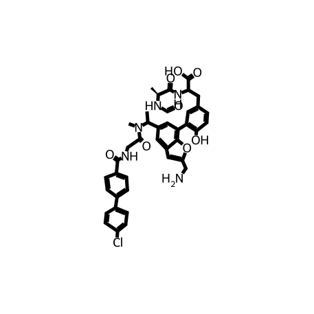 CC(c1cc(-c2cc(CC(NC(=O)[C@H](C)NC=O)C(=O)O)ccc2O)c2oc(CN)cc2c1)N(C)C(=O)CNC(=O)c1ccc(-c2ccc(Cl)cc2)cc1